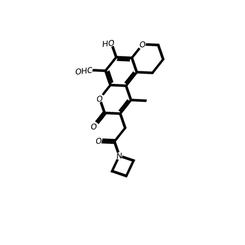 Cc1c(CC(=O)N2CCC2)c(=O)oc2c(C=O)c(O)c3c(c12)CCCO3